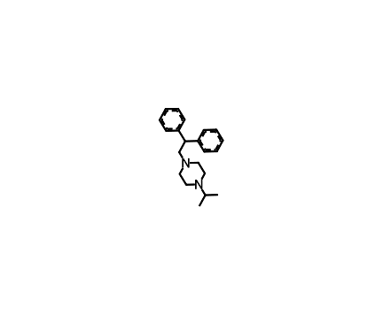 CC(C)N1CCN(CC(c2ccccc2)c2ccccc2)CC1